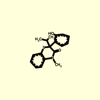 CC(C)C1(c2ccccc2O)Sc2ccccc2N(C)C1=O